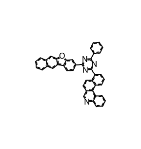 c1ccc(-c2nc(-c3ccc4c(c3)oc3cc5ccccc5cc34)nc(-c3cccc4c3ccc3cnc5ccccc5c34)n2)cc1